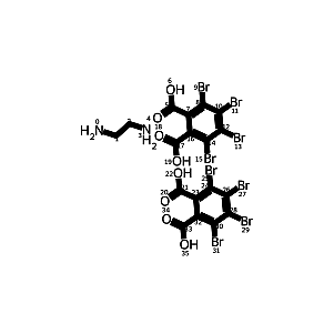 NCCN.O=C(O)c1c(Br)c(Br)c(Br)c(Br)c1C(=O)O.O=C(O)c1c(Br)c(Br)c(Br)c(Br)c1C(=O)O